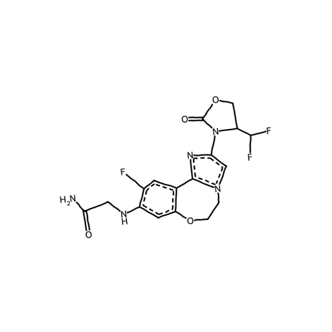 NC(=O)CNc1cc2c(cc1F)-c1nc(N3C(=O)OCC3C(F)F)cn1CCO2